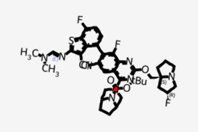 CN(C)/C=N/c1sc2c(F)ccc(-c3c(Cl)cc4c(N5CC6CCC(C5)N6C(=O)OC(C)(C)C)nc(OC[C@@]56CCCN5C[C@H](F)C6)nc4c3F)c2c1C#N